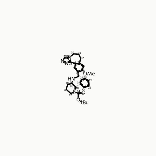 COc1cc2c(cc1CN[C@H]1CCCN(C(=O)OC(C)(C)C)[C@H]1c1ccccc1)-c1nnnn1CCC2